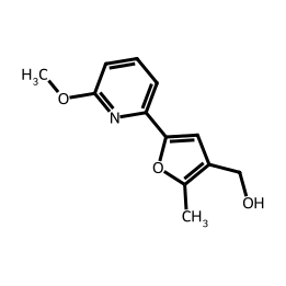 COc1cccc(-c2cc(CO)c(C)o2)n1